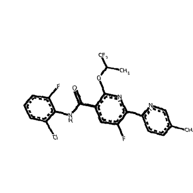 Cc1ccc(-c2nc(OC(C)C(F)(F)F)c(C(=O)Nc3c(F)cccc3Cl)cc2F)nc1